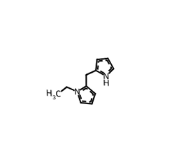 CCn1cccc1Cc1ccc[nH]1